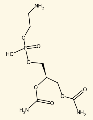 NCCOP(=O)(O)OC[C@@H](COC(N)=O)OC(N)=O